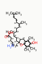 Cc1c(C)c2c(c(C)c1O)CC[C@@](C)(CCC[C@H](C)CCC[C@H](C)CCCC(C)C)O2.NCCCC(=O)O